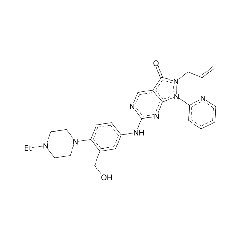 C=CCn1c(=O)c2cnc(Nc3ccc(N4CCN(CC)CC4)c(CO)c3)nc2n1-c1ccccn1